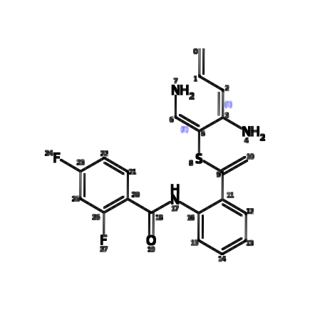 C=C/C=C(N)\C(=C/N)SC(=C)c1ccccc1NC(=O)c1ccc(F)cc1F